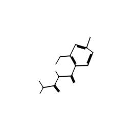 Cc1ccc2c(c1)CSC(C(=O)C(F)F)C2=O